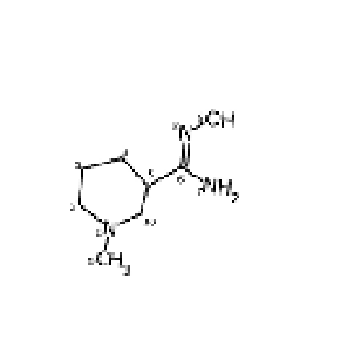 CN1CCCC(/C(N)=N/O)C1